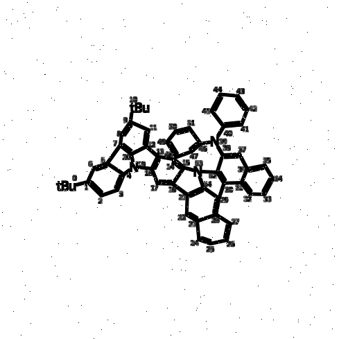 CC(C)(C)c1ccc2c(c1)c1cc(C(C)(C)C)cc3c4cc5c(cc4n2c13)c1cc2ccccc2c2c3c4ccccc4cc(N(c4ccccc4)c4ccccc4)c3n5c12